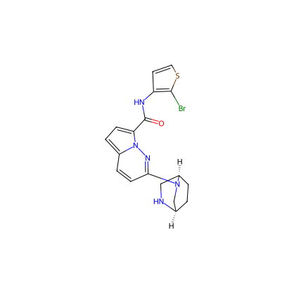 O=C(Nc1ccsc1Br)c1ccc2ccc(N3C[C@H]4CC[C@@H]3CN4)nn12